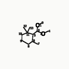 COC(OC)C1C(C)CCCC1(C)C